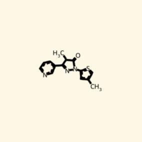 Cc1csc(N2N=C(c3cccnc3)C(C)C2=O)c1